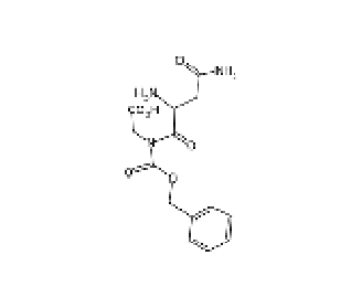 NC(=O)CC(N)C(=O)N(CC(=O)O)C(=O)OCc1ccccc1